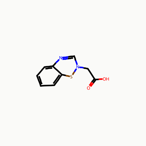 O=C(O)CN1C=Nc2ccccc2S1